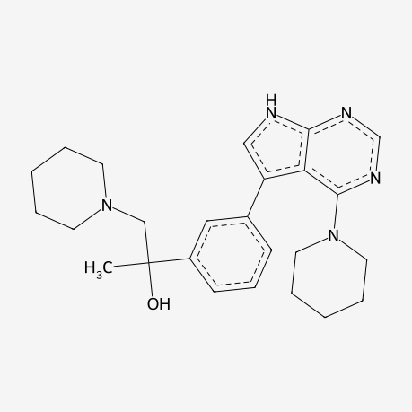 CC(O)(CN1CCCCC1)c1cccc(-c2c[nH]c3ncnc(N4CCCCC4)c23)c1